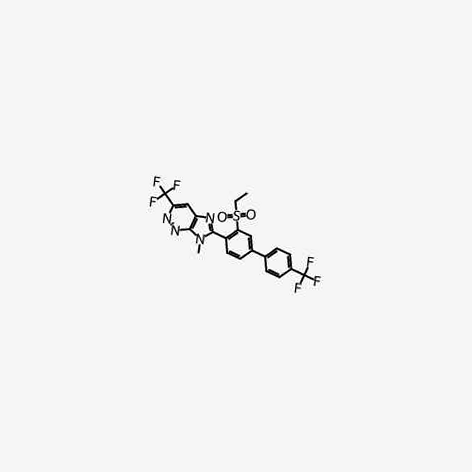 CCS(=O)(=O)c1cc(-c2ccc(C(F)(F)F)cc2)ccc1-c1nc2cc(C(F)(F)F)nnc2n1C